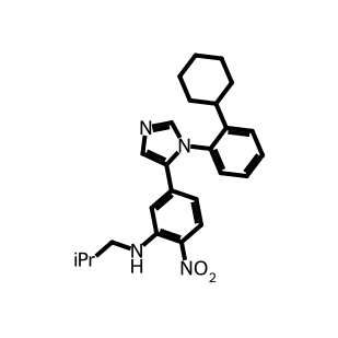 CC(C)CNc1cc(-c2cncn2-c2ccccc2C2CCCCC2)ccc1[N+](=O)[O-]